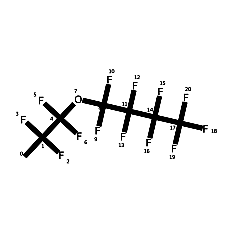 CC(F)(F)C(F)(F)OC(F)(F)C(F)(F)C(F)(F)C(F)(F)F